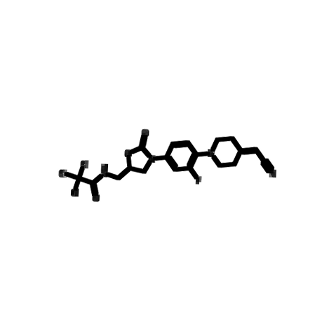 N#CC=C1CCN(c2ccc(N3CC(CNC(=O)C(Cl)(Cl)Cl)OC3=O)cc2F)CC1